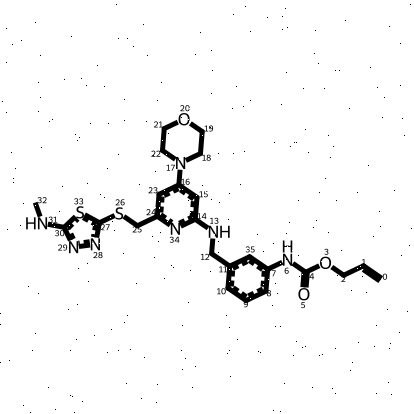 C=CCOC(=O)Nc1cccc(CNc2cc(N3CCOCC3)cc(CSc3nnc(NC)s3)n2)c1